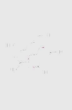 COC1O[C@H](CO)[C@@H](OC(C)=O)[C@H](OC(C)=O)[C@H]1OC(C)=O